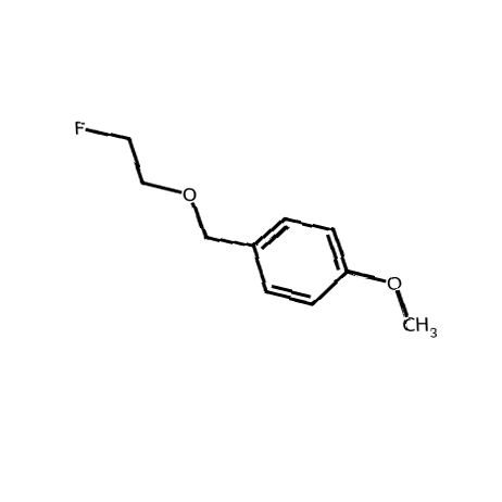 COc1ccc(COCCF)cc1